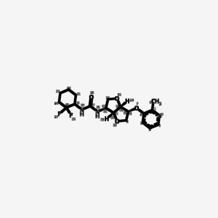 Cc1ncccc1O[C@H]1CO[C@H]2[C@@H]1OC[C@@H]2NC(=O)NC1CCCCC1(F)F